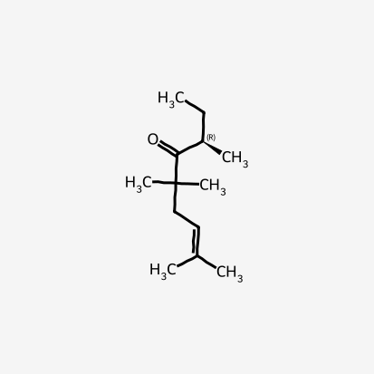 CC[C@@H](C)C(=O)C(C)(C)CC=C(C)C